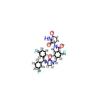 O=C1CCC(N2Cc3cc(CN4CCN(C(c5cccc(F)c5)c5cccc(F)c5)C4=O)cc(F)c3C2=O)C(=O)N1